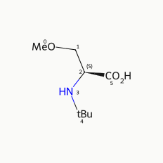 COC[C@H](NC(C)(C)C)C(=O)O